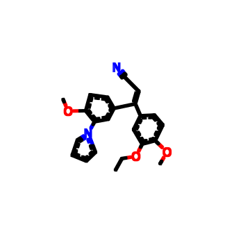 CCOc1cc(/C(=C/C#N)c2ccc(OC)c(-n3cccc3)c2)ccc1OC